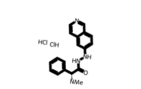 CN[C@@H](C(=O)NNc1ccc2cnccc2c1)c1ccccc1.Cl.Cl